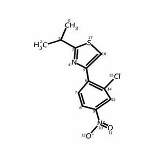 CC(C)c1nc(-c2ccc([N+](=O)[O-])cc2Cl)cs1